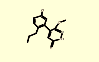 CCCc1ccc(Cl)cc1-c1cc(=O)[nH]nc1OC